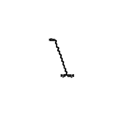 C=C(CCCCCCCCCCCCCCCCCCCCCCCCCCCCC)C(=O)O